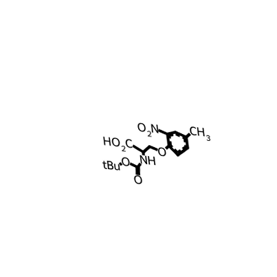 Cc1ccc(OCC(NC(=O)OC(C)(C)C)C(=O)O)c([N+](=O)[O-])c1